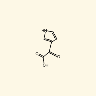 O=C(O)C(=O)c1cc[nH]c1